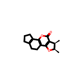 C[C@@H]1c2c(c3c(oc2=O)C2=C(CCC2)CC3)O[C@@H]1C